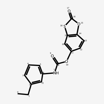 CCc1cccc(NC(=O)Oc2ccc3oc(=O)sc3c2)c1